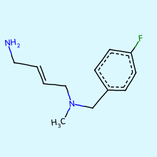 CN(CC=CCN)Cc1ccc(F)cc1